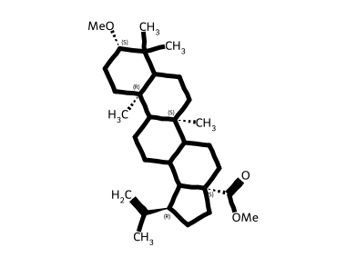 C=C(C)[C@@H]1CC[C@]2(C(=O)OC)CCC3C(CCC4[C@@]3(C)CCC3C(C)(C)[C@@H](OC)CC[C@@]34C)C12